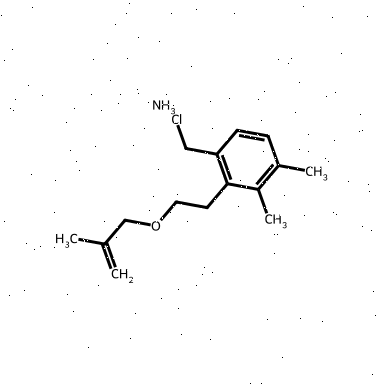 C=C(C)COCCc1c(CCl)ccc(C)c1C.N